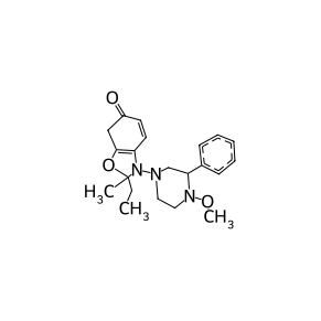 CCC1(C)OC2=C(C=CC(=O)C2)N1N1CCN(OC)C(c2ccccc2)C1